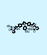 CC(C)(C)OC(=O)N1CCCC1c1ncc(-c2ccc(-c3ccc(-c4ccc(-c5cnc(C6CCCN6C(=O)OC(C)(C)C)[nH]5)cc4)n3-c3ccc(C(C)(C)C)cc3)cc2)[nH]1